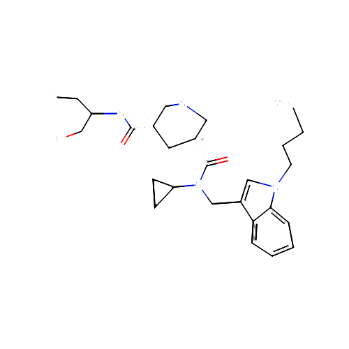 COCCCn1cc(CN(C(=O)[C@H]2CNC[C@@H](C(=O)NC(CO)CC(C)C)C2)C2CC2)c2ccccc21